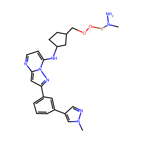 CN(N)SOOCC1CCC(Nc2ccnc3cc(-c4cccc(-c5cnn(C)c5)c4)nn23)C1